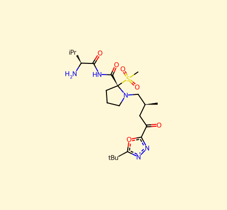 CC(C)[C@H](N)C(=O)NC(=O)[C@]1(S(C)(=O)=O)CCCN1C[C@@H](C)CC(=O)c1nnc(C(C)(C)C)o1